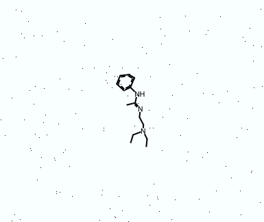 CCN(CC)CC/N=C(\C)Nc1ccccc1